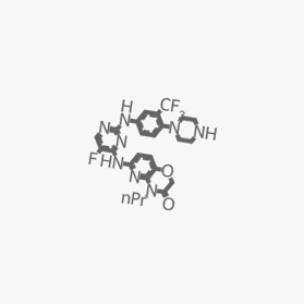 CCCN1C(=O)COc2ccc(Nc3nc(Nc4ccc(N5CCNCC5)c(C(F)(F)F)c4)ncc3F)nc21